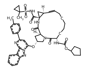 Cc1ccc(-c2cc(O[C@@H]3C[C@H]4C(=O)N[C@]5(C(=O)NS(=O)(=O)C6(C)CC6)C[C@H]5/C=C\CCCCC[C@H](NC(=O)OC5CCCC5)C(=O)N4C3)n3nc4ccccc4c3n2)cc1